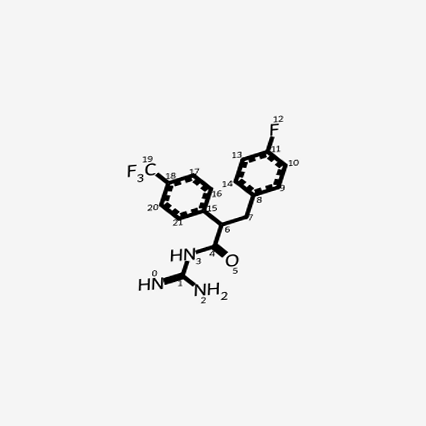 N=C(N)NC(=O)C(Cc1ccc(F)cc1)c1ccc(C(F)(F)F)cc1